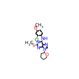 COc1ccc(Nc2nc(SC)nc3c2ncn3C2CCCCO2)c(Cl)c1